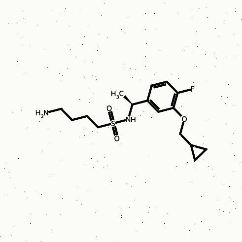 C[C@H](NS(=O)(=O)CCCCN)c1ccc(F)c(OCC2CC2)c1